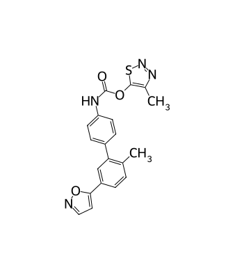 Cc1ccc(-c2ccno2)cc1-c1ccc(NC(=O)Oc2snnc2C)cc1